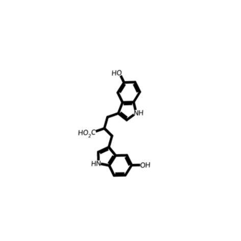 O=C(O)C(Cc1c[nH]c2ccc(O)cc12)Cc1c[nH]c2ccc(O)cc12